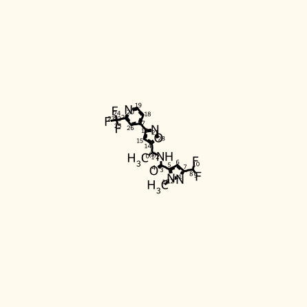 C[C@H](NC(=O)c1cc(C(F)F)nn1C)c1cc(-c2ccnc(C(F)(F)F)c2)no1